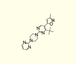 Cc1cc(-c2cnc(N3CCN(c4ncccn4)CC3)nc2C(C)(C)C)on1